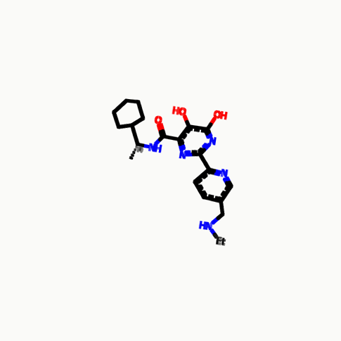 CCNCc1ccc(-c2nc(O)c(O)c(C(=O)N[C@H](C)C3CCCCC3)n2)nc1